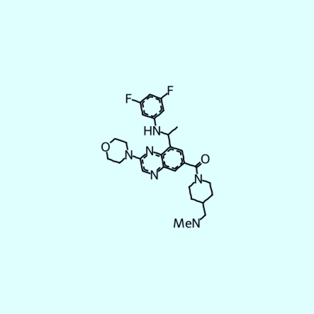 CNCC1CCN(C(=O)c2cc(C(C)Nc3cc(F)cc(F)c3)c3nc(N4CCOCC4)cnc3c2)CC1